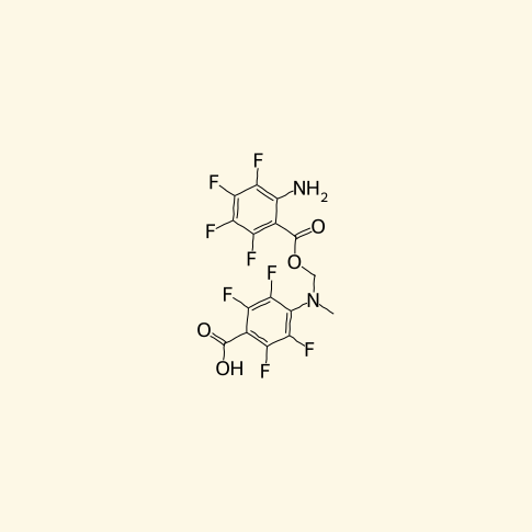 CN(COC(=O)c1c(N)c(F)c(F)c(F)c1F)c1c(F)c(F)c(C(=O)O)c(F)c1F